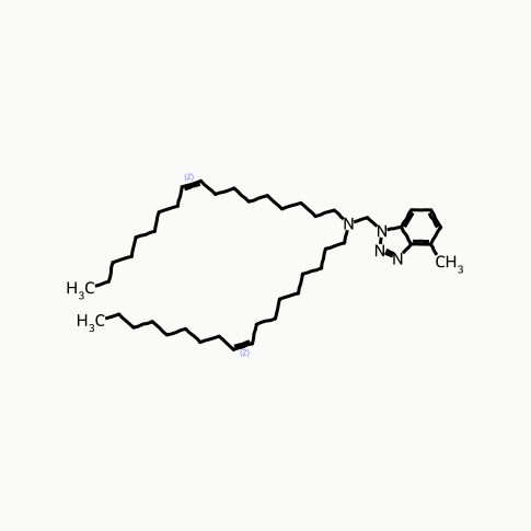 CCCCCCCC/C=C\CCCCCCCCN(CCCCCCCC/C=C\CCCCCCCC)Cn1nnc2c(C)cccc21